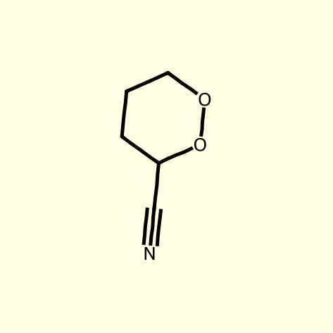 N#CC1CCCOO1